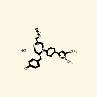 Cc1cc(C2CCC(N3C[C@H](CN=[N+]=[N-])OC[C@@H]3Cc3ccc(Cl)cc3)CC2)nn1C.Cl